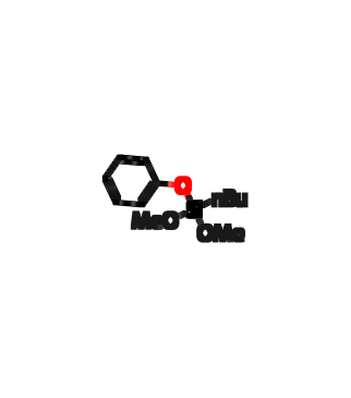 CCCC[Si](OC)(OC)Oc1ccccc1